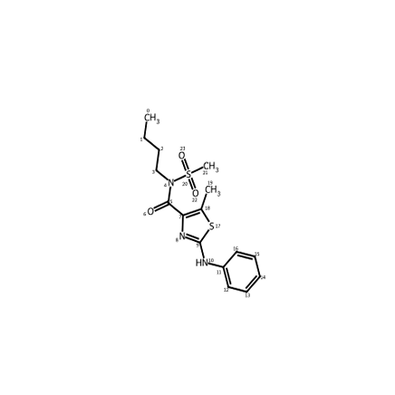 CCCCN(C(=O)c1nc(Nc2ccccc2)sc1C)S(C)(=O)=O